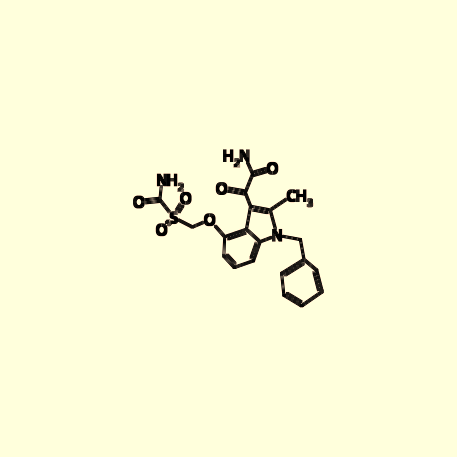 Cc1c(C(=O)C(N)=O)c2c(OCS(=O)(=O)C(N)=O)cccc2n1Cc1ccccc1